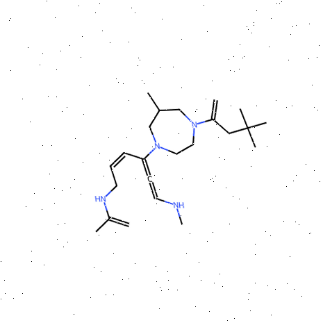 C=C(C)NC/C=C\C(=C=CNC)N1CCN(C(=C)CC(C)(C)C)CC(C)C1